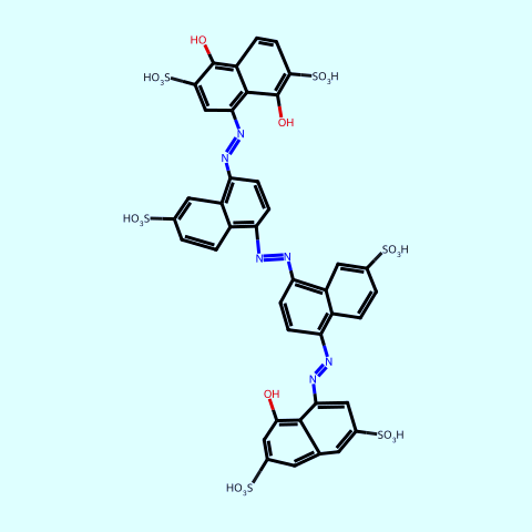 O=S(=O)(O)c1cc(O)c2c(N=Nc3ccc(N=Nc4ccc(N=Nc5cc(S(=O)(=O)O)c(O)c6ccc(S(=O)(=O)O)c(O)c56)c5cc(S(=O)(=O)O)ccc45)c4cc(S(=O)(=O)O)ccc34)cc(S(=O)(=O)O)cc2c1